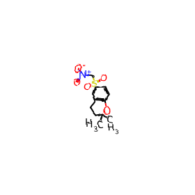 CC1(C)CCc2cc(S(=O)(=O)C[N+](=O)[O-])ccc2O1